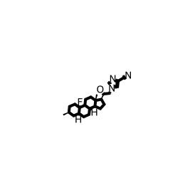 C[C@H]1CCC2(F)C3CC[C@@]4(C)C(CC[C@@H]4C(=O)Cn4cnc(C#N)c4)[C@@H]3CC[C@@H]2C1